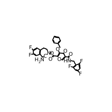 NC1CN(OC(=O)c2occ(C(=O)NCc3c(F)cc(F)cc3F)c(=O)c2OCc2ccccc2)CCc2cc(F)c(F)cc21